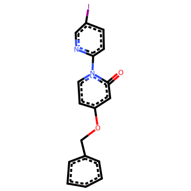 O=c1cc(OCc2ccccc2)ccn1-c1ccc(I)cn1